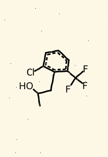 CC(O)Cc1c(Cl)cccc1C(F)(F)F